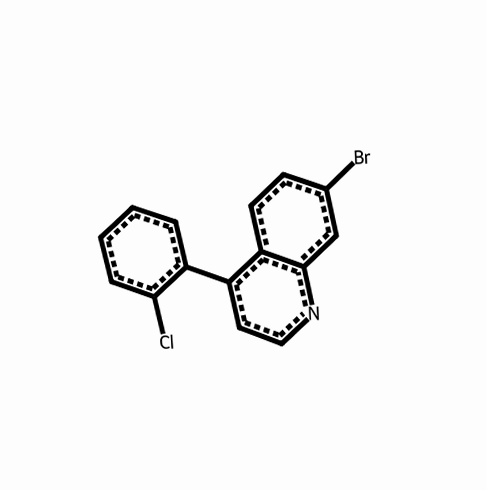 Clc1ccccc1-c1ccnc2cc(Br)ccc12